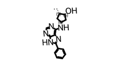 [CH2][C@H]1C[C@@H](Nc2ncnc3[nH]c(-c4ccccc4)nc23)C[C@@H]1O